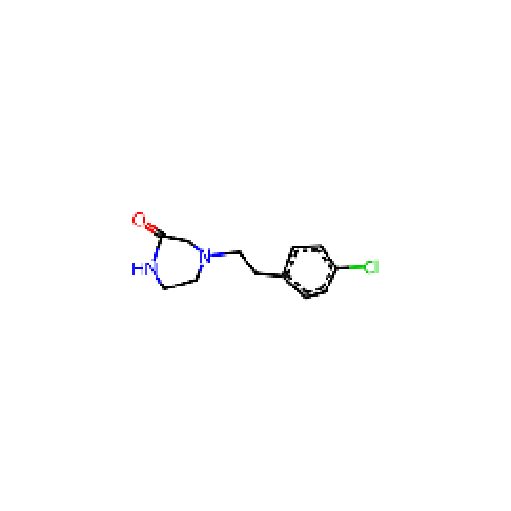 O=C1CN(CCc2ccc(Cl)cc2)CCN1